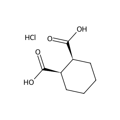 Cl.O=C(O)[C@H]1CCCC[C@H]1C(=O)O